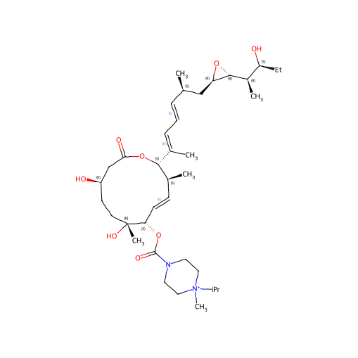 CC[C@H](O)[C@@H](C)[C@H]1O[C@@H]1C[C@H](C)/C=C/C=C(\C)[C@H]1OC(=O)C[C@H](O)CC[C@@](C)(O)[C@@H](OC(=O)N2CC[N+](C)(C(C)C)CC2)/C=C/[C@@H]1C